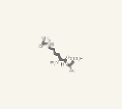 CC(=O)[C@H](CC(=O)O)NC(=O)[C@H](N)CCCCNC(N)=O